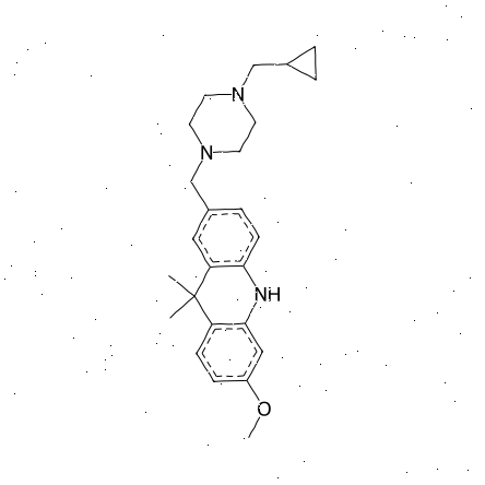 COc1ccc2c(c1)Nc1ccc(CN3CCN(CC4CC4)CC3)cc1C2(C)C